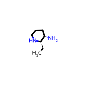 CC[C@@H]1NCCC[C@@H]1N